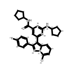 O=C(NC1CCCC1)c1cc(-c2c(-c3ccc(F)cc3)nn3c(Cl)cccc23)nc(NC2CCCC2)n1